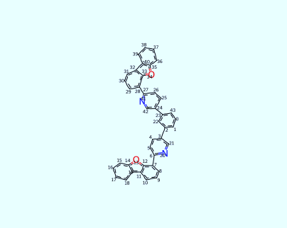 c1cc(-c2ccc(-c3cccc4c3oc3ccccc34)nc2)cc(-c2ccc(-c3cccc4c3oc3ccccc34)nc2)c1